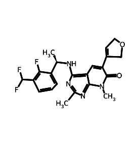 Cc1nc(N[C@H](C)c2cccc(C(F)F)c2F)c2cc(C3=CCOC3)c(=O)n(C)c2n1